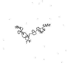 CSc1ncnn2c([C@H]3CC[C@@H](CN4CC(F)(F)CC45CCN(C(=O)OC(C)(C)C)CC5)O3)ccc12